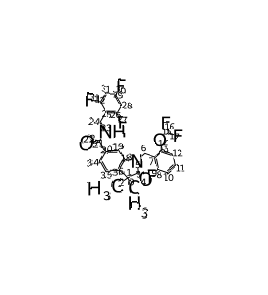 CC1(C)C(=O)N(Cc2c(F)cccc2OC(F)F)c2cc(C(=O)NCc3c(F)cc(F)cc3F)ccc21